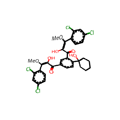 COC(=C(O)C(=O)c1ccc(C2(O)CCCCC2)c(C(=O)C(O)=C(OC)c2ccc(Cl)cc2Cl)c1)c1ccc(Cl)cc1Cl